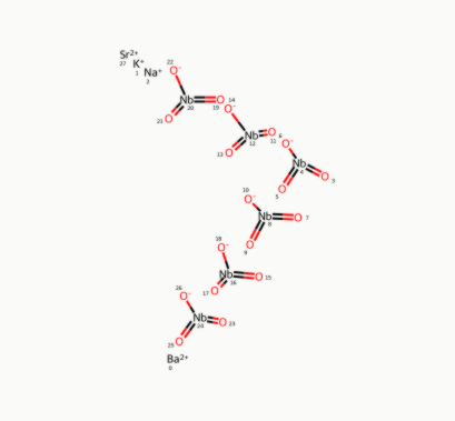 [Ba+2].[K+].[Na+].[O]=[Nb](=[O])[O-].[O]=[Nb](=[O])[O-].[O]=[Nb](=[O])[O-].[O]=[Nb](=[O])[O-].[O]=[Nb](=[O])[O-].[O]=[Nb](=[O])[O-].[Sr+2]